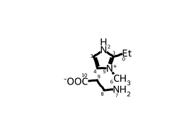 CCc1[nH]cc[n+]1C.NCCC(=O)[O-]